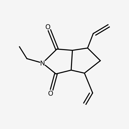 C=CC1CC(C=C)C2C(=O)N(CC)C(=O)C12